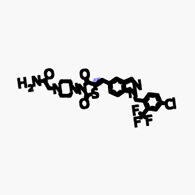 NC(=O)CN1CCN(N2C(=O)S/C(=C\c3ccc4c(cnn4Cc4ccc(Cl)cc4C(F)(F)F)c3)C2=O)CC1